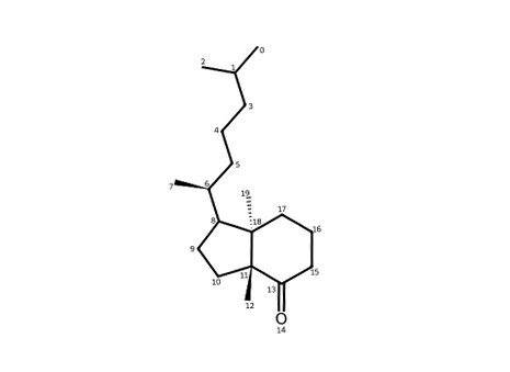 CC(C)CCC[C@H](C)C1CC[C@@]2(C)C(=O)CCC[C@]12C